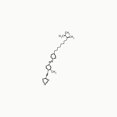 C=C(C)C(=C)CCCCCCCCc1ccc(/N=N/c2ccc(C#Cc3ccncn3)c(C)c2)cc1